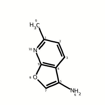 Cc1ccc2c(N)coc2n1